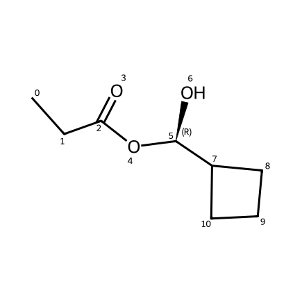 CCC(=O)O[C@@H](O)C1CCC1